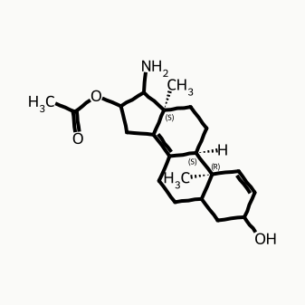 CC(=O)OC1CC2=C3CCC4CC(O)C=C[C@]4(C)[C@@H]3CC[C@]2(C)C1N